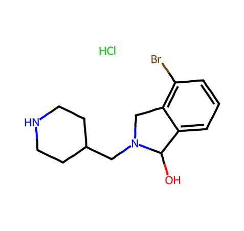 Cl.OC1c2cccc(Br)c2CN1CC1CCNCC1